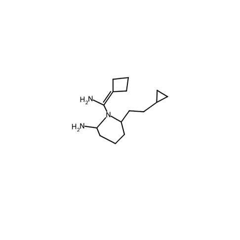 NC(=C1CCC1)N1C(N)CCCC1CCC1CC1